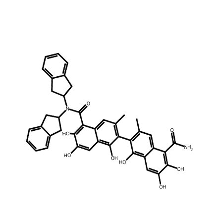 Cc1cc2c(C(N)=O)c(O)c(O)cc2c(O)c1-c1c(C)cc2c(C(=O)N(C3Cc4ccccc4C3)C3Cc4ccccc4C3)c(O)c(O)cc2c1O